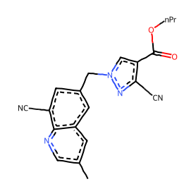 CCCOC(=O)c1cn(Cc2cc(C#N)c3ncc(C)cc3c2)nc1C#N